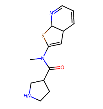 CN(C(=O)C1CCNC1)C1=CC2C=CC=NC2S1